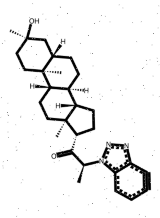 C[C@@H](C(=O)[C@H]1CC[C@H]2[C@@H]3CC[C@H]4C[C@](C)(O)CC[C@]4(C)[C@H]3CC[C@]12C)n1nnc2c#cccc21